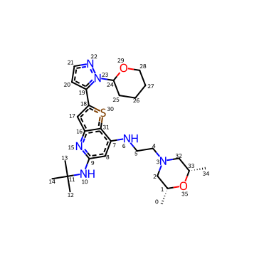 C[C@@H]1CN(CCNc2cc(NC(C)(C)C)nc3cc(-c4ccnn4C4CCCCO4)sc23)C[C@H](C)O1